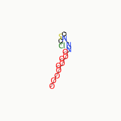 COCCOCCOCCOCC(COCC(COCC(CN1CCN(CCCN2c3ccccc3Sc3ccc(Cl)cc32)CC1)OC)OC)OC